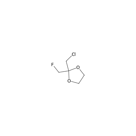 FCC1(CCl)OCCO1